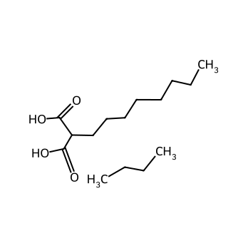 CCCC.CCCCCCCCC(C(=O)O)C(=O)O